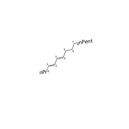 [CH2]CC/C=C/C=C/CCCCCCCC